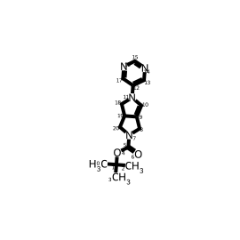 CC(C)(C)OC(=O)N1CC2=CN(c3cncnc3)CC2C1